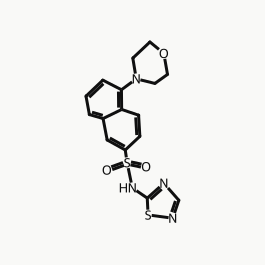 O=S(=O)(Nc1ncns1)c1ccc2c(N3CCOCC3)cccc2c1